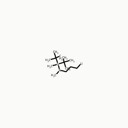 [Li][CH2]CCN(C)[Si](C)(C(C)(C)C)C(C)(C)C